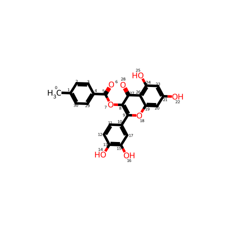 Cc1ccc(C(=O)Oc2c(-c3ccc(O)c(O)c3)oc3cc(O)cc(O)c3c2=O)cc1